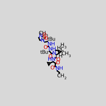 C=CCNC(=O)C(=O)C(NC(=O)[C@@H]1[C@@H]2[C@H](CN1C(=O)[C@@H](NC(=O)N[C@H](CN1CCN(C)S1(=O)=O)C(C)(C)C)C(C)(C)C)C2(C)C)C1CC1